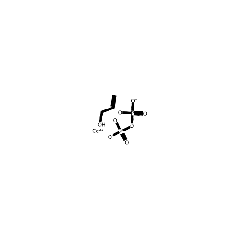 C=CCO.O=P([O-])([O-])OP(=O)([O-])[O-].[Ce+4]